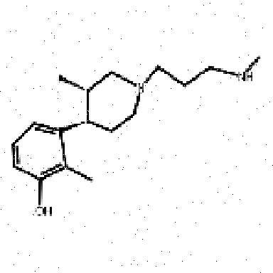 CNCCCN1CC[C@@H](c2cccc(O)c2C)[C@@H](C)C1